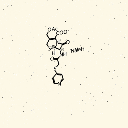 CC(=O)OCC1=C(C(=O)[O-])N2C(=O)[C@@H](NC(=O)CSc3ccncc3)[C@H]2SC1.[Na+].[NaH]